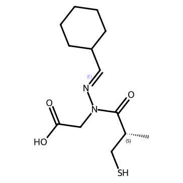 C[C@H](CS)C(=O)N(CC(=O)O)/N=C/C1CCCCC1